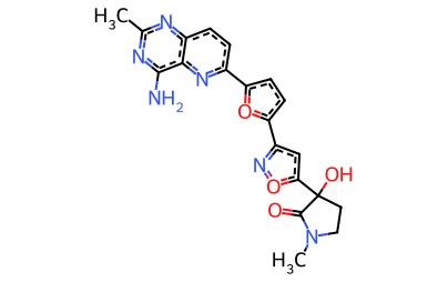 Cc1nc(N)c2nc(-c3ccc(-c4cc(C5(O)CCN(C)C5=O)on4)o3)ccc2n1